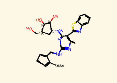 COc1ccccc1CNc1nc(C)c(-c2nc3ccccc3s2)c(N[C@@H]2C[C@H](CO)[C@@H](O)[C@H]2O)n1